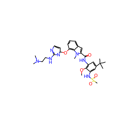 COc1c(NC(=O)c2cc3cccc(Oc4ccnc(NCCN(C)C)n4)c3n2C)cc(C(C)(C)C)cc1NS(C)(=O)=O